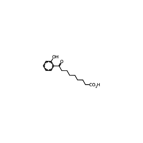 O=C(O)CCCCCCCC(=O)c1ccccc1O